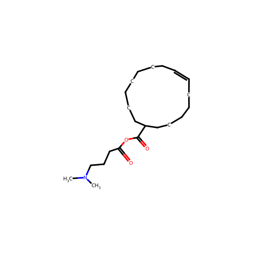 CN(C)CCCC(=O)OC(=O)C1CCCCCC=CCCCCCCC1